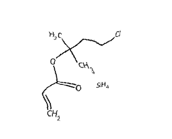 C=CC(=O)OC(C)(C)CCCl.[SiH4]